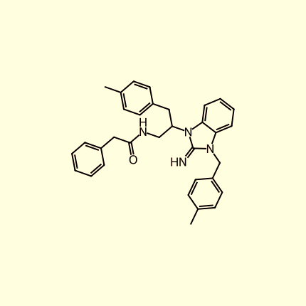 Cc1ccc(CC(CNC(=O)Cc2ccccc2)n2c(=N)n(Cc3ccc(C)cc3)c3ccccc32)cc1